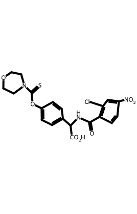 O=C(NC(C(=O)O)c1ccc(OC(=S)N2CCOCC2)cc1)c1ccc([N+](=O)[O-])cc1Cl